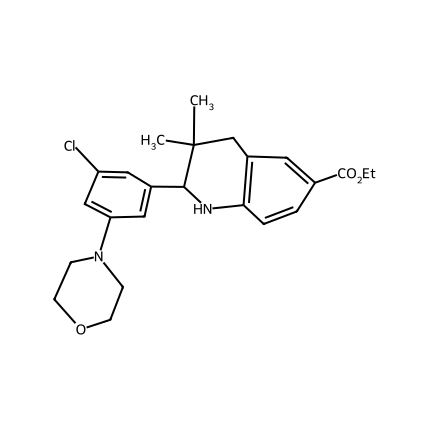 CCOC(=O)c1ccc2c(c1)CC(C)(C)C(c1cc(Cl)cc(N3CCOCC3)c1)N2